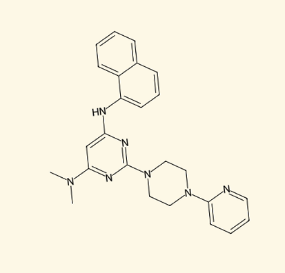 CN(C)c1cc(Nc2cccc3ccccc23)nc(N2CCN(c3ccccn3)CC2)n1